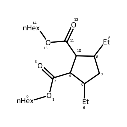 CCCCCCOC(=O)C1C(CC)CC(CC)C1C(=O)OCCCCCC